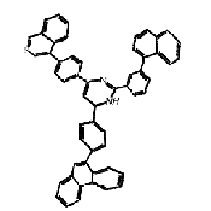 C1=C(c2ccc(-c3cncc4ccccc34)cc2)N=C(c2cccc(-c3cccc4ccccc34)c2)NC1c1ccc(-c2cc3ccccc3c3ccccc23)cc1